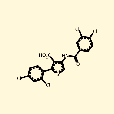 O=C(Nc1csc(-c2ccc(Cl)cc2Cl)c1C(=O)O)c1ccc(Cl)c(Cl)c1